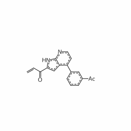 C=CC(=O)c1cc2c(-c3cccc(C(C)=O)c3)ccnc2[nH]1